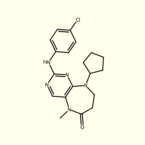 CN1C(=O)CCN(C2CCCC2)c2nc(Nc3ccc(Cl)cc3)ncc21